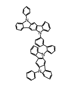 c1ccc(-n2c3ccccc3c3cc4c(cc32)c2ccccc2n4-c2cccc(-c3ccccc3-n3c4ccccc4c4cc5c(cc43)c3ccccc3n5-c3ccccc3)c2)cc1